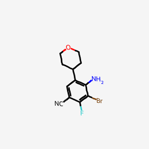 N#Cc1cc(C2CCOCC2)c(N)c(Br)c1F